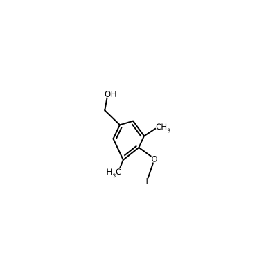 Cc1cc(CO)cc(C)c1OI